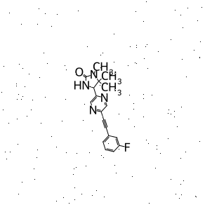 CN1C(=O)NC(c2cnc(C#Cc3cccc(F)c3)cn2)C1(C)C